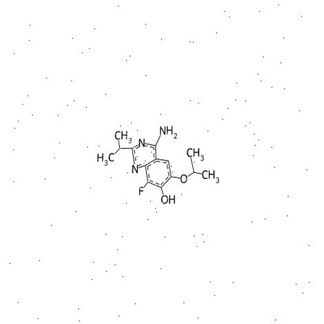 CC(C)Oc1cc2c(N)nc(C(C)C)nc2c(F)c1O